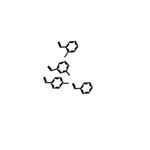 C=Cc1ccc(C)cc1.C=Cc1cccc(C)c1.C=Cc1ccccc1.C=Cc1ccccc1C